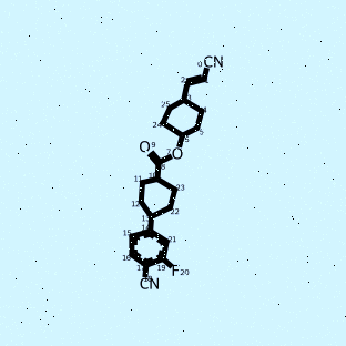 N#C/C=C/C1CCC(OC(=O)C2CCC(c3ccc(C#N)c(F)c3)CC2)CC1